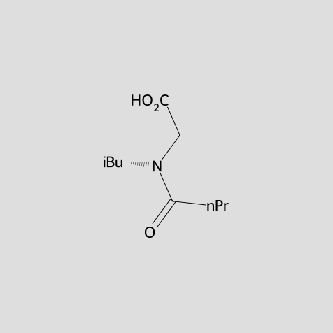 CCCC(=O)N(CC(=O)O)[C@@H](C)CC